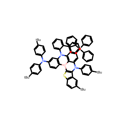 CC(C)(C)c1ccc(N(c2ccc(C(C)(C)C)cc2)c2ccc3c(c2)N(c2ccccc2-c2ccccc2)c2cc([Si](c4ccccc4)(c4ccccc4)c4ccccc4)cc4c2B3c2sc3ccc(C(C)(C)C)cc3c2N4c2ccc(C(C)(C)C)cc2)cc1